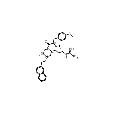 COc1ccc(C[C@@H](N)C(=O)N2C[C@@H](C)N(CCc3ccc4ccccc4c3)C[C@@H]2CCCNC(=N)N)cc1